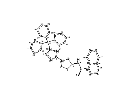 C[C@@H](N[C@H]1CCN(c2nnn(C(c3ccccc3)(c3ccccc3)c3ccccc3)n2)C1)c1cccc2ccccc12